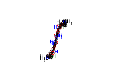 CN(C)C1Cc2ccc(Cl)cc2[C@@H]1Oc1ccc(S(=O)(=O)NCCOCCOCCNC(=O)NCCCCNC(=O)NCCOCCOCCNS(=O)(=O)c2ccc(O[C@H]3c4cc(Cl)ccc4C[C@@H]3N(C)C)cc2)cc1